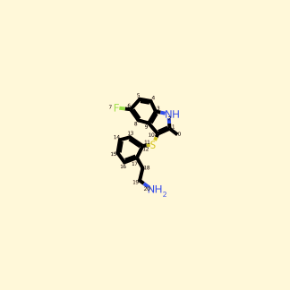 Cc1[nH]c2ccc(F)cc2c1Sc1ccccc1CCN